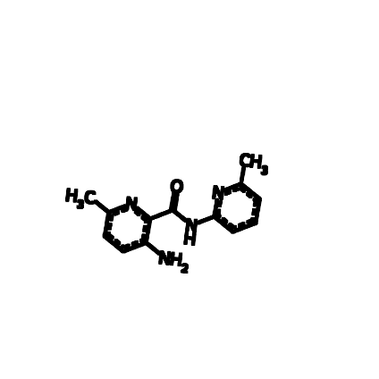 Cc1cccc(NC(=O)c2nc(C)ccc2N)n1